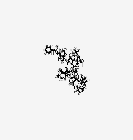 CC(C)[Si]1(C(C)C)OC[C@H]2O[C@@H](n3cc(F)c4c(=O)n(C)cnc43)[C@H](OP(=O)(OCCC#N)OC[C@H]3O[C@@H](n4cnc5c(NC(=O)c6ccccc6)ncnc54)[C@H](O[Si](C)(C)C(C)(C)C)[C@@H]3O[PH](=O)O)[C@@H]2O[Si](C(C)C)(C(C)C)O1